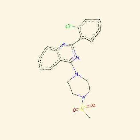 CS(=O)(=O)N1CCN(c2nc(-c3ccccc3Cl)nc3ccccc23)CC1